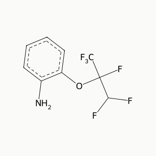 Nc1ccccc1OC(F)(C(F)F)C(F)(F)F